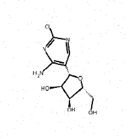 Nc1nc(Cl)ncc1[C@@H]1O[C@H](CO)[C@@H](O)[C@H]1O